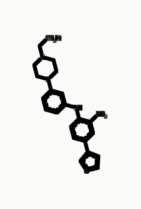 CCOC(=O)CN1CCN(c2cccc(Nc3ccc(-c4ccoc4)cc3[N+](=O)[O-])c2)CC1